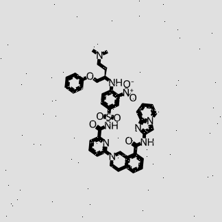 CN(C)CC[C@H](COc1ccccc1)Nc1ccc(S(=O)(=O)NC(=O)c2cccc(N3CCc4cccc(C(=O)Nc5cn6ccccc6n5)c4C3)n2)cc1[N+](=O)[O-]